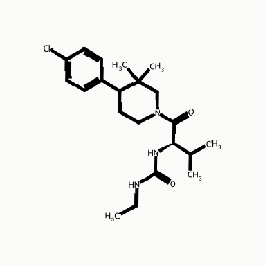 CCNC(=O)N[C@@H](C(=O)N1CCC(c2ccc(Cl)cc2)C(C)(C)C1)C(C)C